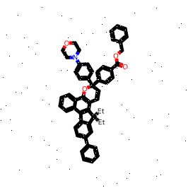 CCC1(CC)c2cc(-c3ccccc3)ccc2-c2c1c1c(c3ccccc23)OC(c2ccc(C(=O)OCc3ccccc3)cc2)(c2ccc(N3CCOCC3)cc2)C=C1